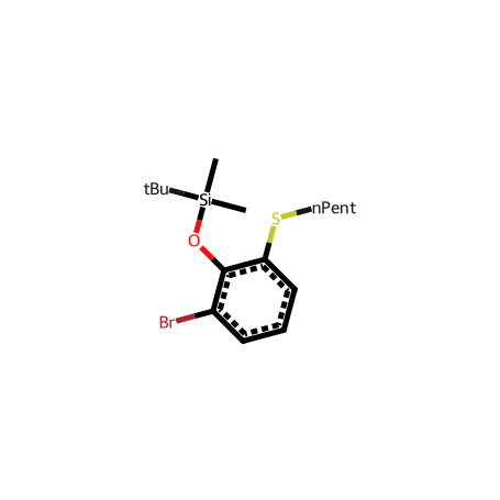 CCCCCSc1cccc(Br)c1O[Si](C)(C)C(C)(C)C